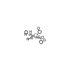 COc1cccc(C2(CNC(=O)c3ccccc3OC)CCN(/C(=N/C#N)NCc3ccccn3)CC2)c1